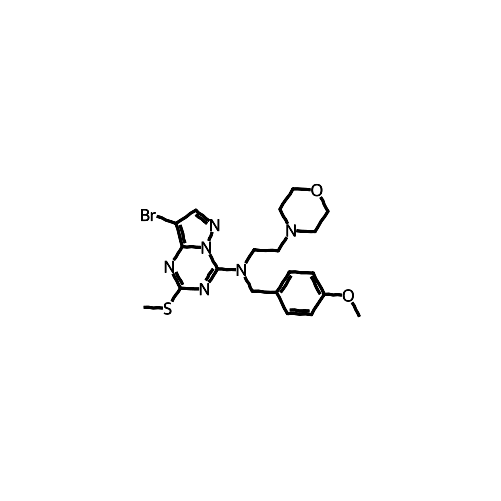 COc1ccc(CN(CCN2CCOCC2)c2nc(SC)nc3c(Br)cnn23)cc1